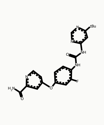 CC(C)(C)c1cc(NC(=O)Nc2ccc(Oc3ccnc(C(N)=O)c3)cc2F)ncn1